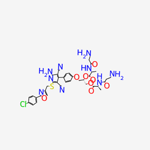 CC(NC(=O)CCN)C(=O)O[C@H](COC(=O)[C@H](C)NC(=O)CCN)COc1ccc(-c2c(C#N)c(N)nc(SCc3coc(-c4ccc(Cl)cc4)n3)c2C#N)cc1